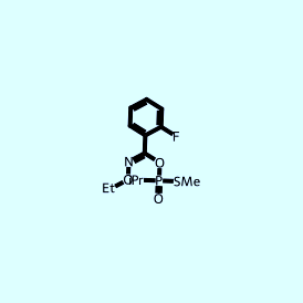 CCON=C(OP(=O)(SC)C(C)C)c1ccccc1F